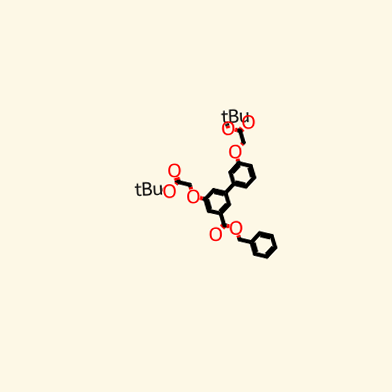 CC(C)(C)OC(=O)COc1cccc(-c2cc(OCC(=O)OC(C)(C)C)cc(C(=O)OCc3ccccc3)c2)c1